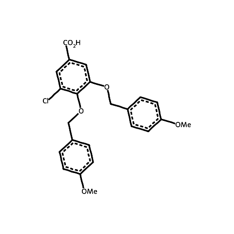 COc1ccc(COc2cc(C(=O)O)cc(Cl)c2OCc2ccc(OC)cc2)cc1